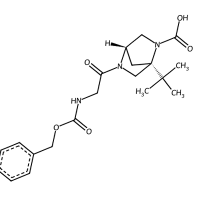 CC(C)(C)[C@]12C[C@@H](CN1C(=O)O)N(C(=O)CNC(=O)OCc1ccccc1)C2